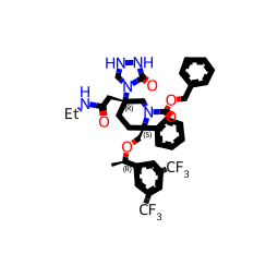 CCNC(=O)C[C@]1(N2CNNC2=O)CC[C@@](CO[C@H](C)c2cc(C(F)(F)F)cc(C(F)(F)F)c2)(c2ccccc2)N(C(=O)OCc2ccccc2)C1